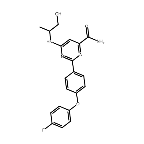 CC(CO)Nc1cc(C(N)=O)nc(-c2ccc(Oc3ccc(F)cc3)cc2)n1